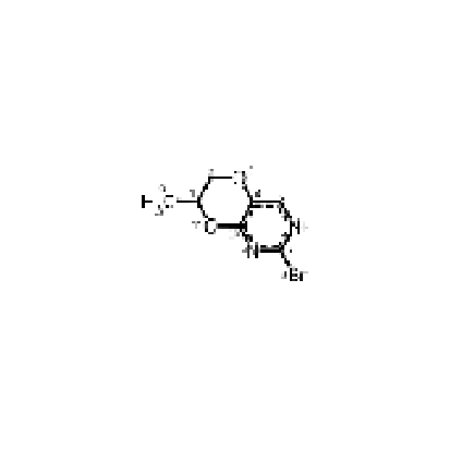 C[C@H]1COc2cnc(Br)nc2O1